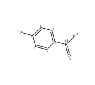 O=[PH](F)c1ccc(F)cc1